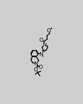 COCCCC(=O)N1CC[C@H](N(C)c2cccc3c2CN(C(=O)OC(C)(C)C)CC3)C1